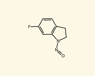 O=NN1CCc2ccc(F)cc21